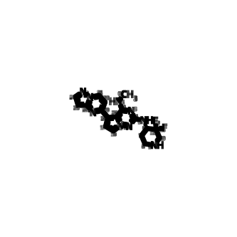 CNc1nc(N[C@@H]2CCNCC2(F)F)nn2ccc(-c3ccn4nccc4n3)c12